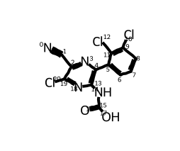 N#Cc1nc(-c2cccc(Cl)c2Cl)c(NC(=O)O)nc1Cl